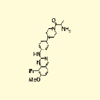 COc1ccc2cnc(Nc3ccc(N4CCN(C(=O)C(C)N)CC4)cc3)nc2c1C(C)C